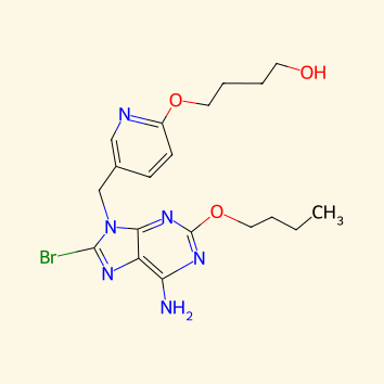 CCCCOc1nc(N)c2nc(Br)n(Cc3ccc(OCCCCO)nc3)c2n1